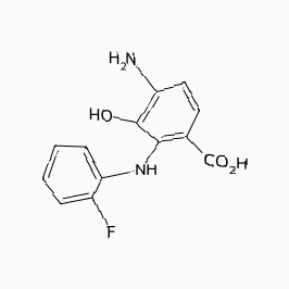 Nc1ccc(C(=O)O)c(Nc2ccccc2F)c1O